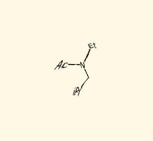 CCN(CC(C)C)C(C)=O